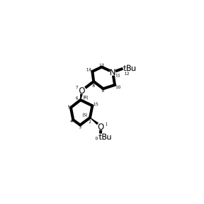 CC(C)(C)O[C@H]1CCC[C@@H](OC2CCN(C(C)(C)C)CC2)C1